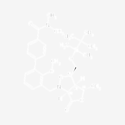 COc1c(CN2O[C@@H](CO[Si](C)(C)C(C)(C)C)[C@H]3[C@H](C)OC(=O)[C@H]32)cccc1-c1ccc(C(=O)N(C)C)cc1